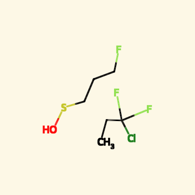 CCC(F)(F)Cl.OSCCCF